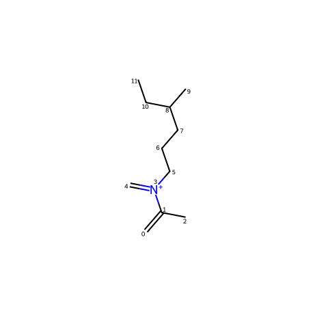 C=C(C)[N+](=C)CCCC(C)CC